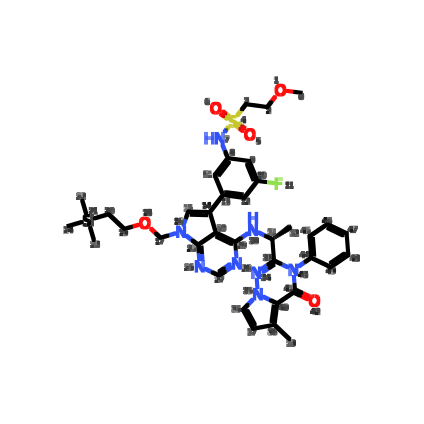 COCCS(=O)(=O)Nc1cc(F)cc(-c2cn(COCC[Si](C)(C)C)c3ncnc(N[C@@H](C)c4nn5ccc(C)c5c(=O)n4-c4ccccc4)c23)c1